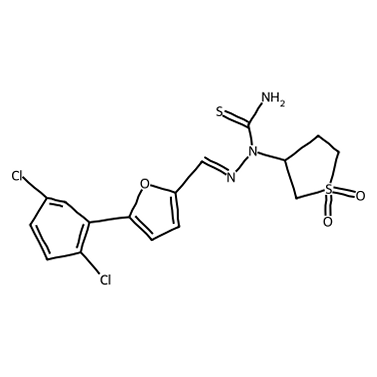 NC(=S)N(N=Cc1ccc(-c2cc(Cl)ccc2Cl)o1)C1CCS(=O)(=O)C1